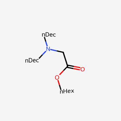 CCCCCCCCCCN(CCCCCCCCCC)CC(=O)OCCCCCC